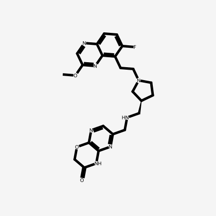 COc1cnc2ccc(F)c(CCN3CC[C@@H](CNCc4cnc5c(n4)NC(=O)CO5)C3)c2n1